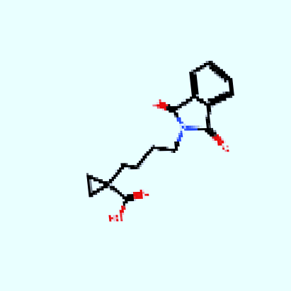 O=C1c2ccccc2C(=O)N1CCCCC1(C(=O)O)CC1